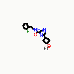 CCOc1ccc(-c2cncc(C(=O)NCCc3ccccc3F)n2)cc1